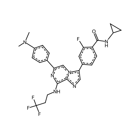 CN(C)c1ccc(-c2cn3c(-c4ccc(C(=O)NC5CC5)c(F)c4)cnc3c(NCCC(F)(F)F)n2)cc1